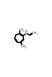 C=CNC1=C(C)CC=CC(C)=C1